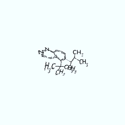 CC(C)C(C)c1ccc2nnccc2c1C(C)(C)C